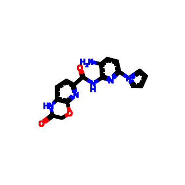 Nc1ccc(-n2cccc2)nc1NC(=O)c1ccc2c(n1)OCC(=O)N2